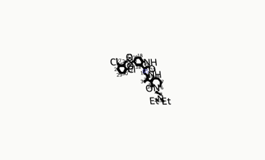 CCN(CC)CCN1CCCc2[nH]c(/C=C3\C(=O)NC4=CCC(S(=O)(=O)Cc5c(Cl)cccc5Cl)C=C43)c(C)c2C1=O